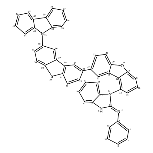 c1ccc(/N=c2\[nH]c3ccccc3n2-c2cccc3oc4ccc(-c5ccc6sc7ccc(-n8c9ccccc9c9ccccc98)cc7c6c5)cc4c23)cc1